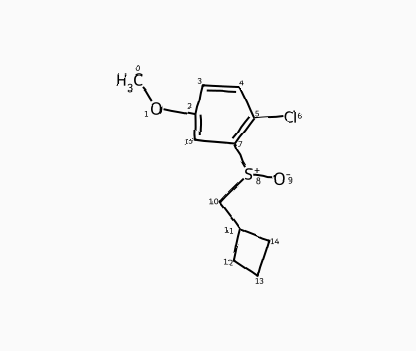 COc1ccc(Cl)c([S+]([O-])CC2CCC2)c1